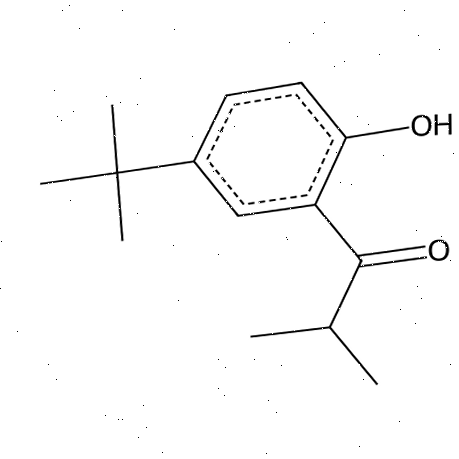 CC(C)C(=O)c1cc(C(C)(C)C)ccc1O